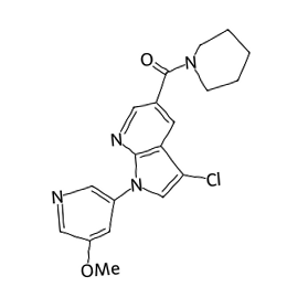 COc1cncc(-n2cc(Cl)c3cc(C(=O)N4CCCCC4)cnc32)c1